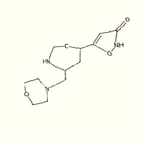 O=c1cc(C2CCNC(CN3CCOCC3)C2)o[nH]1